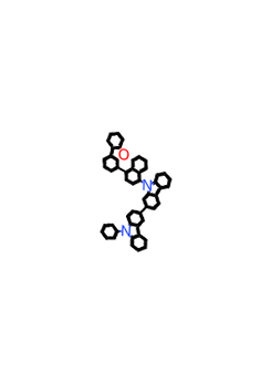 c1ccc(-n2c3ccccc3c3cc(-c4ccc5c6ccccc6n(-c6ccc(-c7cccc8c7oc7ccccc78)c7ccccc67)c5c4)ccc32)cc1